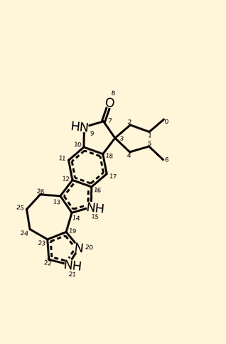 CCCC1(CCC)C(=O)Nc2cc3c4c([nH]c3cc21)-c1n[nH]cc1CCC4